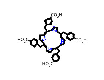 O=C(O)c1ccc(Cc2c3nc(c(Cc4ccc(C(=O)O)cc4)c4ccc([nH]4)c(Cc4ccc(C(=O)O)cc4)c4nc(c(Cc5ccc(C(=O)O)cc5)c5ccc2[nH]5)C=C4)C=C3)cc1